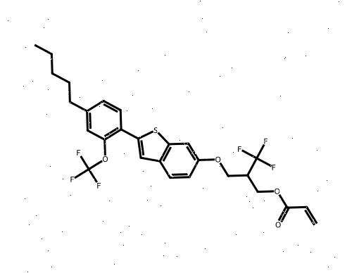 C=CC(=O)OCC(COc1ccc2cc(-c3ccc(CCCCC)cc3OC(F)(F)F)sc2c1)C(F)(F)F